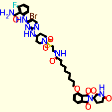 NC(=O)c1c(F)cccc1Nc1nc(NC2CCN(S(=O)(=O)CCNC(=O)CCCCCCCCOc3cccc4c3C(=O)N(C3CCC(=O)NC3=O)C4=O)CC2)ncc1Br